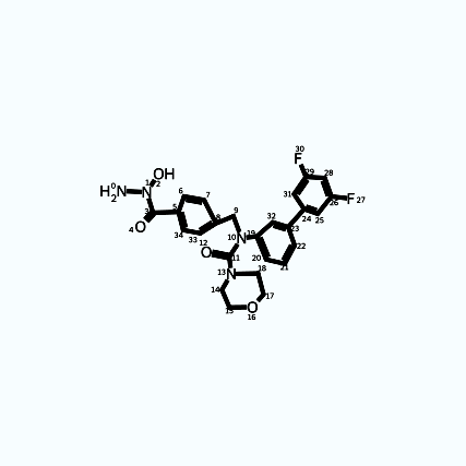 NN(O)C(=O)c1ccc(CN(C(=O)N2CCOCC2)c2cccc(-c3cc(F)cc(F)c3)c2)cc1